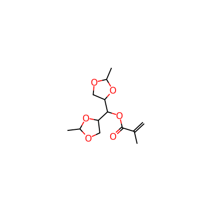 C=C(C)C(=O)OC(C1COC(C)O1)C1COC(C)O1